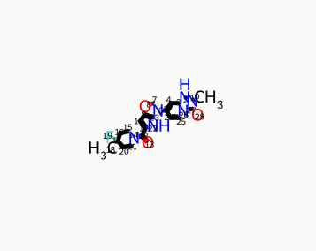 CN1NC2C=C(N3COc4cc(C(=O)N5CCC(C)(F)CC5)[nH]c43)C=CN2C1=O